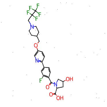 O=C(O)C1CC(O)CN1C(=O)c1ccc(-c2ccc(OCC3CCN(CC(F)(F)C(F)(F)F)CC3)cn2)cc1F